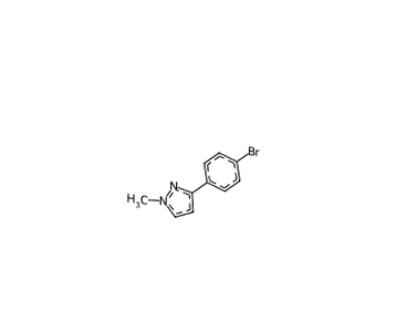 Cn1ccc(-c2ccc(Br)cc2)n1